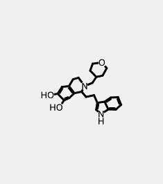 Oc1cc2c(cc1O)C(CCc1c[nH]c3ccccc13)N(CC1CCOCC1)CC2